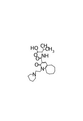 CC(C)[C@H](NC(=O)c1cc2c(n(CCN3CCCCC3)c1=O)CCCCCC2)C(=O)O